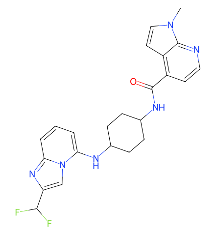 Cn1ccc2c(C(=O)NC3CCC(Nc4cccc5nc(C(F)F)cn45)CC3)ccnc21